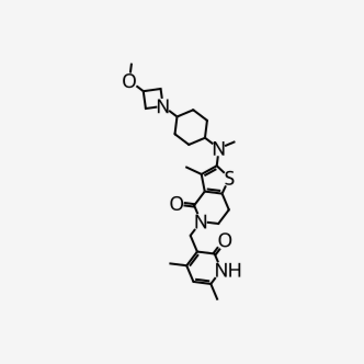 COC1CN(C2CCC(N(C)c3sc4c(c3C)C(=O)N(Cc3c(C)cc(C)[nH]c3=O)CC4)CC2)C1